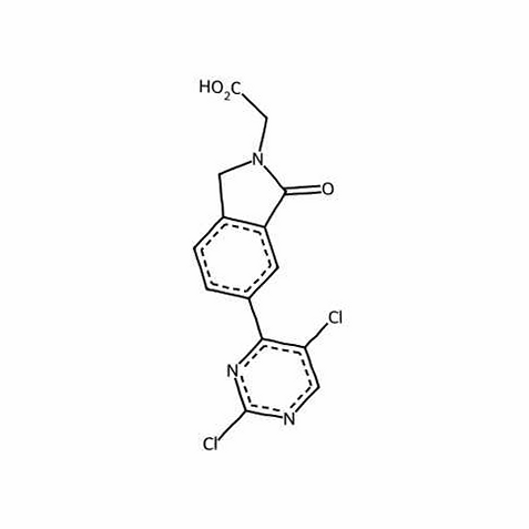 O=C(O)CN1Cc2ccc(-c3nc(Cl)ncc3Cl)cc2C1=O